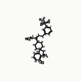 CC(=O)N(CCc1cccc(S(C)(=O)=O)c1)C1CCC(CN)(c2cccc(Cl)c2)CC1.Cl